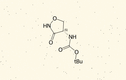 CC(C)(C)OC(=O)N[C@H]1CONC1=O